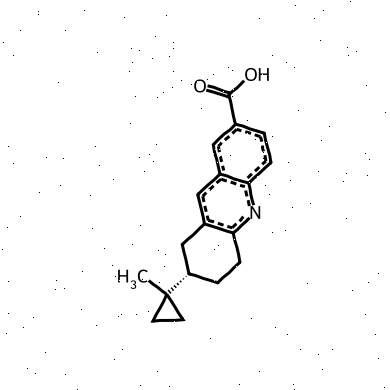 CC1([C@H]2CCc3nc4ccc(C(=O)O)cc4cc3C2)CC1